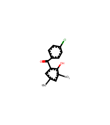 CC(C)(C)c1cc(C(=O)c2ccc(Cl)cc2)c(O)c([N+](=O)[O-])c1